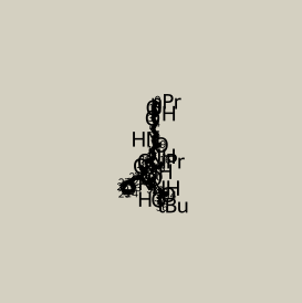 CCCOPOCCCNC(=O)CNC(=O)C(CC(C)C)NC(=O)C(Cc1ccccc1)NC(=O)CNC(=O)OC(C)(C)C